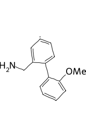 COc1ccccc1-c1cc[c]cc1CN